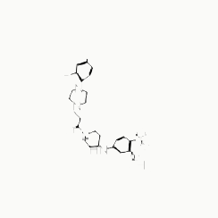 COc1cc(NC2CCN(C(=O)CCN3CCN(c4ccc(F)cc4F)CC3)CC2)ccc1[N+](=O)[O-]